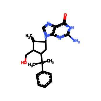 C=C1C(CO)C([Si](C)(C)c2ccccc2)CC1n1cnc2c(=O)[nH]c(N)nc21